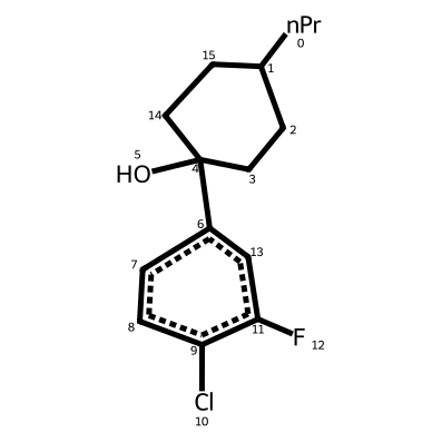 CCCC1CCC(O)(c2ccc(Cl)c(F)c2)CC1